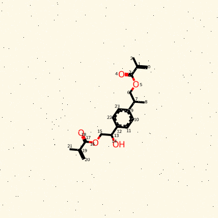 C=C(C)C(=O)OCC(C)c1ccc(C(O)COC(=O)C(=C)C)cc1